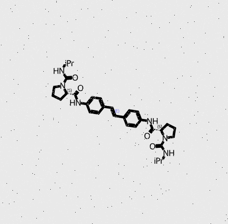 CC(C)NC(=O)N1CCC[C@H]1C(=O)Nc1ccc(/C=C/c2ccc(NC(=O)[C@@H]3CCCN3C(=O)NC(C)C)cc2)cc1